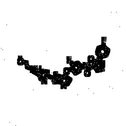 COCCNCc1ccc(-c2cc3nccc(Oc4ccc(NC(=O)c5ccnn(-c6ccc(F)cc6)c5=O)cc4F)c3s2)nc1